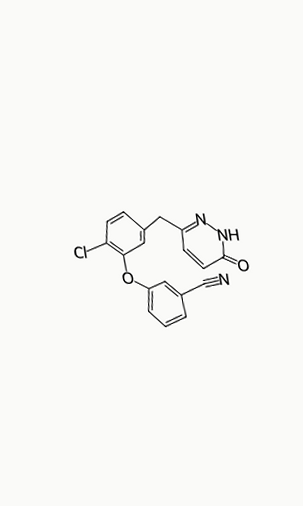 N#Cc1cccc(Oc2cc(Cc3ccc(=O)[nH]n3)ccc2Cl)c1